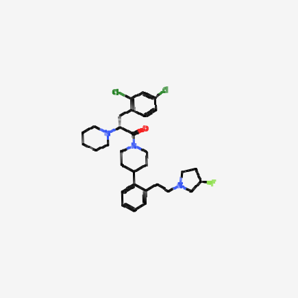 O=C([C@@H](Cc1ccc(Cl)cc1Cl)N1CCCCC1)N1CCC(c2ccccc2CCN2CC[C@@H](F)C2)CC1